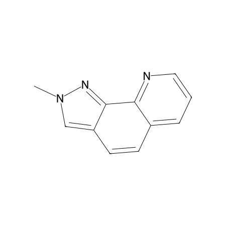 Cn1cc2ccc3cccnc3c2n1